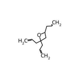 C=CCC1CC(CC=C)(CC=C)O1